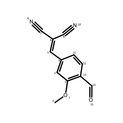 COc1cc(C=C(C#N)C#N)ccc1C=O